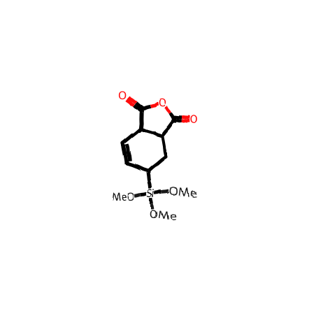 CO[Si](OC)(OC)C1C=CC2C(=O)OC(=O)C2C1